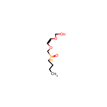 CCCC[PH](=O)CO/C=C\OCO